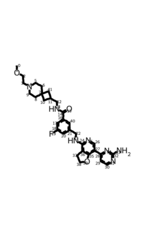 COCCN1CCC2(CC1)CC(CNC(=O)c1cc(F)cc(CNc3ncc(-c4ccnc(N)n4)c4c3CCO4)c1)C2